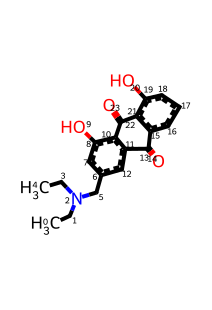 CCN(CC)Cc1cc(O)c2c(c1)C(=O)c1cccc(O)c1C2=O